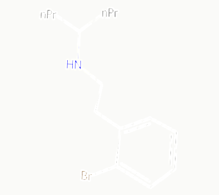 CCCC(CCC)NCCc1ccccc1Br